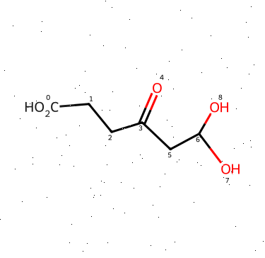 O=C(O)CCC(=O)CC(O)O